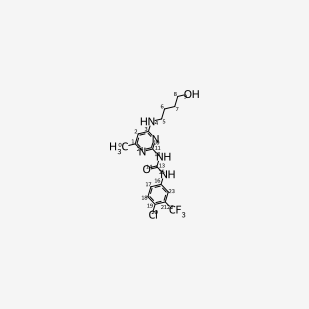 Cc1cc(NCCCCO)nc(NC(=O)Nc2ccc(Cl)c(C(F)(F)F)c2)n1